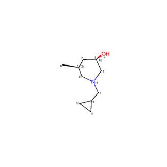 C[C@H]1C[C@@H](O)CN(CC2CC2)C1